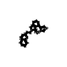 Cn1cncc1-c1cccc2c1C(=O)N(CCc1ccc3ccccc3n1)C2